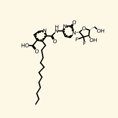 CCCCCCCCCCCCc1c(C(=O)O)ccnc1C(=O)Nc1ccn([C@@H]2O[C@H](CO)[C@@H](O)C2(F)F)c(=O)n1